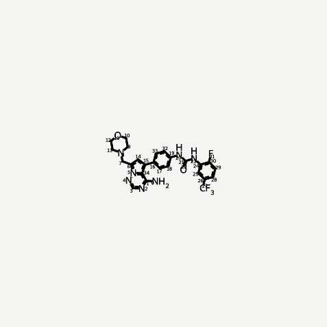 Nc1ncnn2c(CN3CCOCC3)cc(-c3ccc(NC(=O)Nc4cc(C(F)(F)F)ccc4F)cc3)c12